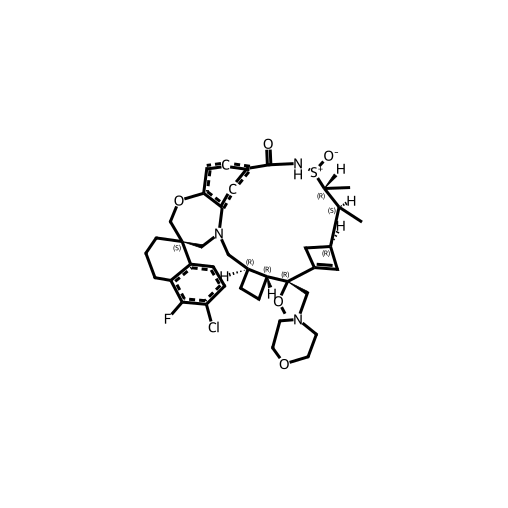 CO[C@@]1(CN2CCOCC2)C2=C[C@@H](C2)[C@H](C)[C@@H](C)[S+]([O-])NC(=O)c2ccc3c(c2)N(C[C@@H]2CC[C@H]21)C[C@@]1(CCCc2c1ccc(Cl)c2F)CO3